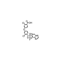 CC(c1ccc(Oc2ccc(C(=O)O)c(Cl)c2)cc1Cl)C(O)(c1ccc2nccnc2c1)C(F)(F)F